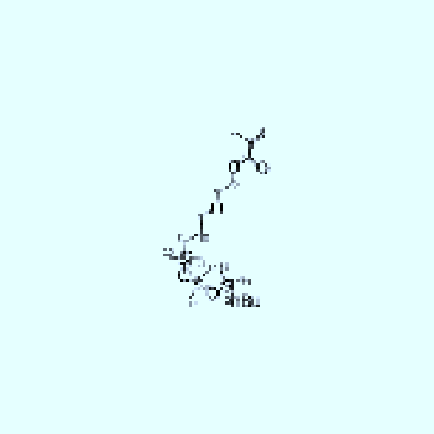 C=C(C)C(=O)OCCOCCC[Si](C)(C)O[Si](C)(C)O[Si](C)(C)CCCC